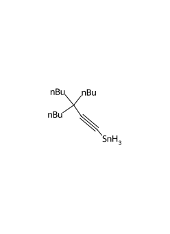 CCCCC(C#[C][SnH3])(CCCC)CCCC